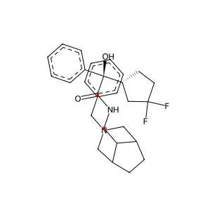 O=C(NCC1C2CCC1CN(Cc1ccccc1)C2)[C@](O)(c1ccccc1)[C@@H]1CCC(F)(F)C1